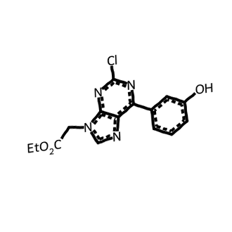 CCOC(=O)Cn1cnc2c(-c3cccc(O)c3)nc(Cl)nc21